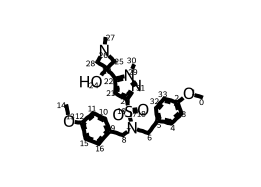 COc1ccc(CN(Cc2ccc(OC)cc2)S(=O)(=O)c2cc(C3(O)CN(C)C3)n(C)n2)cc1